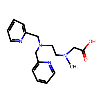 CN(CCN(Cc1ccccn1)Cc1ccccn1)CC(=O)O